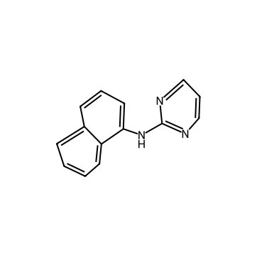 c1cnc(Nc2cccc3ccccc23)nc1